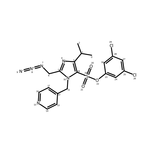 CC(C)c1nc(CN=[N+]=[N-])n(Cc2ccncc2)c1S(=O)(=O)Oc1cc(Cl)cc(Cl)c1